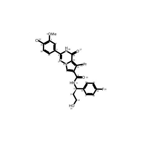 COc1cc(-c2nn3cc(C(=O)N[C@H](CCO)c4ccc(F)cc4)c(C(C)C)c3c(=O)[nH]2)ccc1Cl